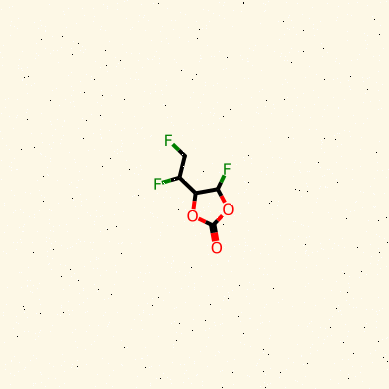 O=C1OC(F)C(C(F)CF)O1